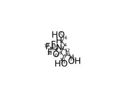 O=C(NC(CCCO)(CCCO)CCCO)C(F)(F)F